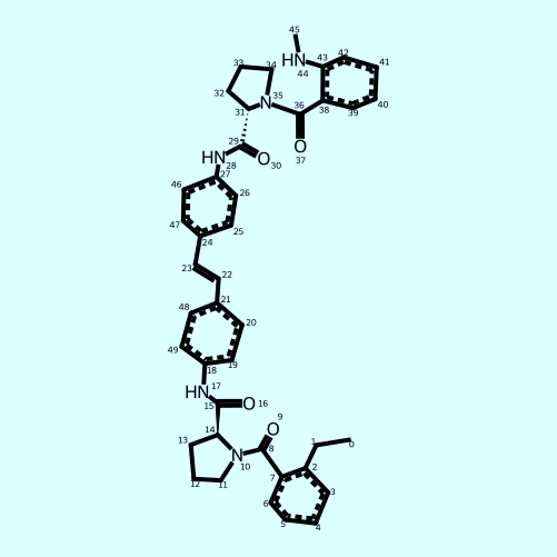 CCc1ccccc1C(=O)N1CCC[C@H]1C(=O)Nc1ccc(/C=C/c2ccc(NC(=O)[C@@H]3CCCN3C(=O)c3ccccc3NC)cc2)cc1